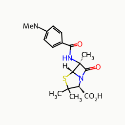 CNc1ccc(C(=O)N[C@@]2(C)C(=O)N3[C@@H](C(=O)O)C(C)(C)S[C@@H]32)cc1